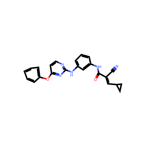 N#CC(=CC1CC1)C(=O)Nc1cccc(Nc2nccc(Oc3ccccc3)n2)c1